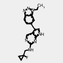 CCn1nnc2ccc(-c3c[nH]c4nc(NCC5(F)CC5)ncc34)cc21